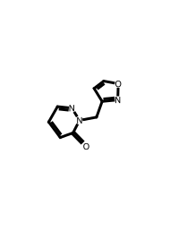 O=c1cccnn1Cc1ccon1